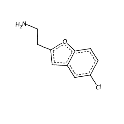 NCCc1cc2cc(Cl)ccc2o1